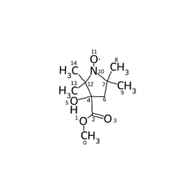 COC(=O)C1(O)CC(C)(C)N([O])C1(C)C